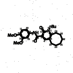 CCCCn1c2c(cc(C(=O)Nc3ccc(OC)c(OC)c3)c1=O)CCCCCC2